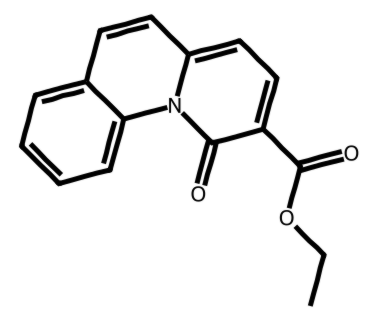 CCOC(=O)c1ccc2ccc3ccccc3n2c1=O